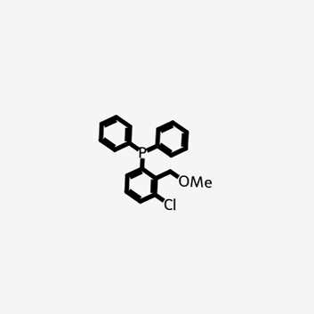 COCc1c(Cl)cccc1P(c1ccccc1)c1ccccc1